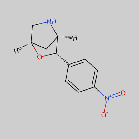 O=[N+]([O-])c1ccc([C@@H]2O[C@H]3CN[C@@H]2C3)cc1